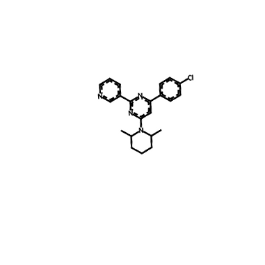 CC1CCCC(C)N1c1cc(-c2ccc(Cl)cc2)nc(-c2cccnc2)n1